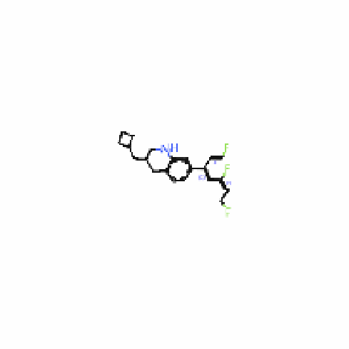 F/C=C/C(=C\C(F)=C/CF)c1ccc2c(c1)NCC(CC1CCC1)C2